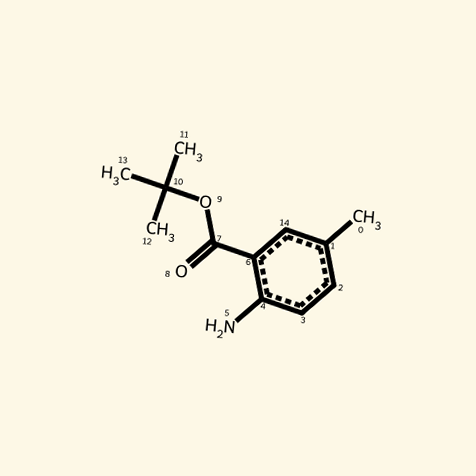 Cc1ccc(N)c(C(=O)OC(C)(C)C)c1